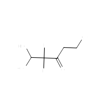 CCCC(=O)C(F)(F)C(C)C